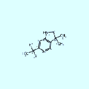 CC(F)(F)c1cc2c(cn1)C(C)(C)CN2